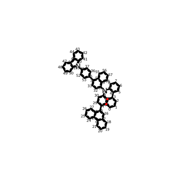 c1ccc(-c2ccccc2N(c2ccc(-c3cc4ccccc4c4ccccc34)cc2)c2ccc(-c3ccc(-n4c5ccccc5c5ccccc54)cc3)c3ccccc23)cc1